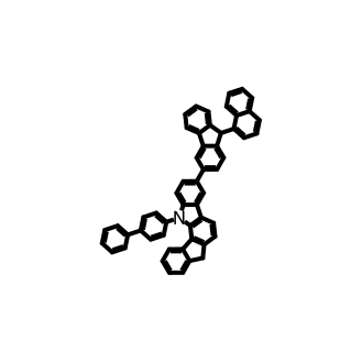 c1ccc(-c2ccc(-n3c4ccc(-c5ccc6c(c5)-c5ccccc5C6c5cccc6ccccc56)cc4c4ccc5c(c43)-c3ccccc3C5)cc2)cc1